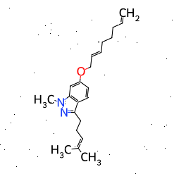 C=CCC[CH]/C=C/COc1ccc2c(CCC=C(C)C)nn(C)c2c1